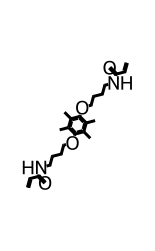 C=CC(=O)NCCCCOc1c(C)c(C)c(OCCCCNC(=O)C=C)c(C)c1C